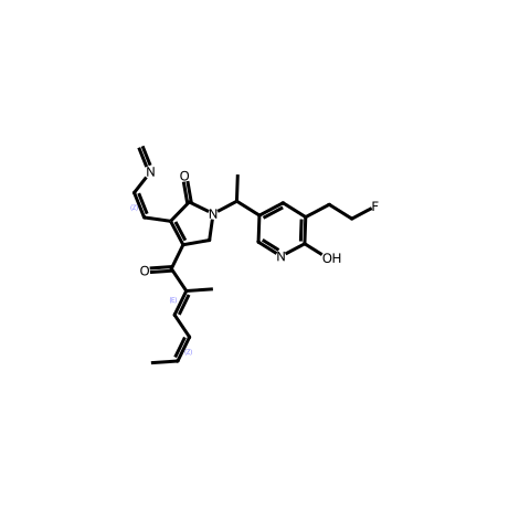 C=N/C=C\C1=C(C(=O)/C(C)=C/C=C\C)CN(C(C)c2cnc(O)c(CCF)c2)C1=O